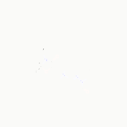 O=C1N2[C@@H](CC[C@H]2c2ccccc2)OC12CCN(c1ccc(=O)n(CC3CC3)n1)CC2